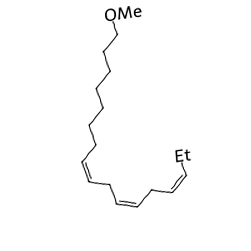 CC/C=C\C/C=C\C/C=C\CCCCCCCOC